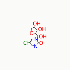 O=c1ncc(Cl)cn1C(O)[C@H]1OC[C@H](O)[C@@H]1O